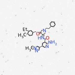 CCc1cc(CO[C@H]2CN(CCc3ccccc3)C[C@@H]2NC(=O)c2cc(-c3cnn(C)c3)cnc2N)ccc1C